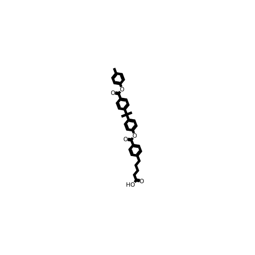 Cc1ccc(OC(=O)c2ccc(C(C)(C)c3ccc(OC(=O)c4ccc(CCCCC(=O)O)cc4)cc3)cc2)cc1